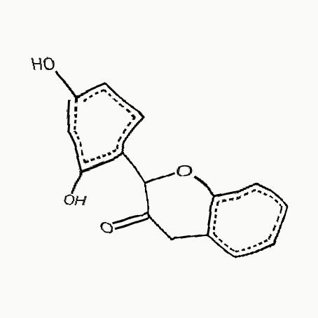 O=C1Cc2ccccc2OC1c1ccc(O)cc1O